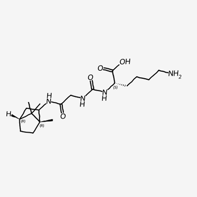 CC1(C)[C@@H]2CC[C@@]1(C)C(NC(=O)CNC(=O)N[C@@H](CCCCN)C(=O)O)C2